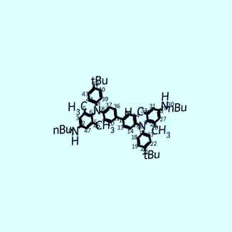 CCCCNc1cc(C)c(N(c2ccc(-c3ccc(N(c4ccc(C(C)(C)C)cc4)c4c(C)cc(NCCCC)cc4C)cc3)cc2)c2ccc(C(C)(C)C)cc2)c(C)c1